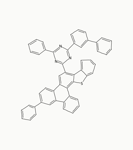 c1ccc(-c2cccc(-c3nc(-c4ccccc4)nc(-c4cc5c6ccc(-c7ccccc7)cc6c6ccccc6c5c5sc6ccccc6c45)n3)c2)cc1